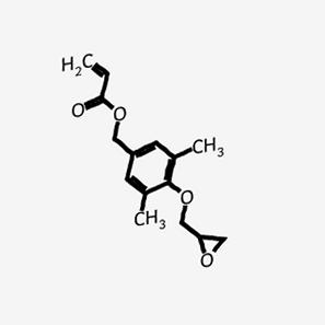 C=CC(=O)OCc1cc(C)c(OCC2CO2)c(C)c1